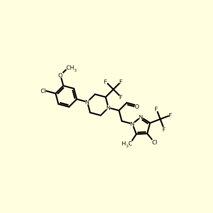 COc1cc(N2CCN(C(C=O)Cn3nc(C(F)(F)F)c(Cl)c3C)C(C(F)(F)F)C2)ccc1Cl